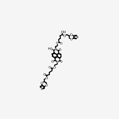 O=C(CCCC(=O)OCC1COc2cscc2O1)OCCN1C(=O)c2ccc3c4c(ccc(c24)C1=O)C(O)N(CCOC(=O)CCCC(O)OCC1COc2cscc2O1)C3=O